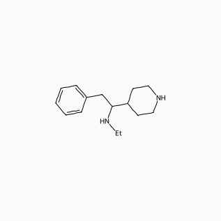 CCNC(Cc1ccccc1)C1CCNCC1